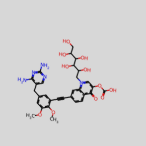 COc1cc(Cc2cnc(N)nc2N)cc(C#Cc2ccc3c(=O)c(OC(=O)O)cn(CC(O)C(O)C(O)C(O)CO)c3c2)c1OC